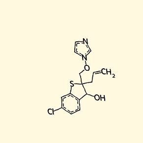 C=CCC1(COn2ccnc2)Sc2cc(Cl)ccc2C1O